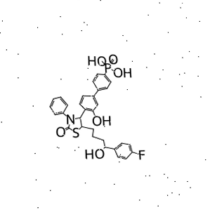 O=C1SC(CCCC(O)c2ccc(F)cc2)C(c2ccc(-c3ccc(P(=O)(O)O)cc3)cc2O)N1c1ccccc1